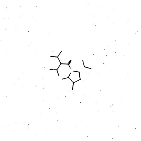 CC(C)C(C(=O)N1C(C)C(C)C[C@H]1C(C)C)C(C)C